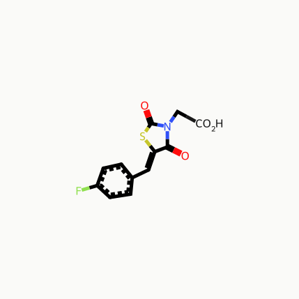 O=C(O)CN1C(=O)S/C(=C\c2ccc(F)cc2)C1=O